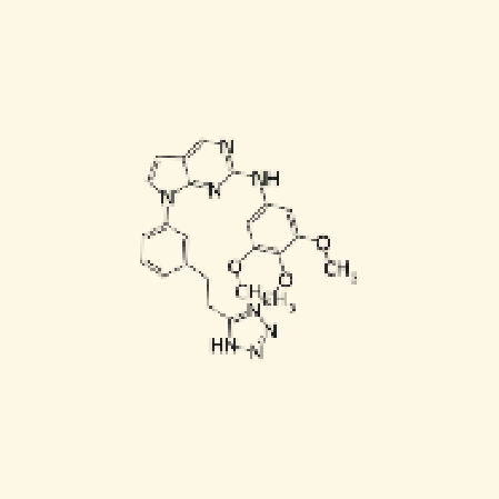 COc1cc(Nc2ncc3ccn(-c4cccc(CCc5nnn[nH]5)c4)c3n2)cc(OC)c1OC